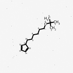 CC(C)(C)OCCCCCCC1C=CC=C1